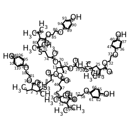 CCC(CC(C)(C)SCCC(=O)OCC(COC(=O)CCSC(C)(C)CC(CC)C(=O)OCCOc1ccc(O)cc1)(COC(=O)CCSC(C)(C)CC(C(=O)OCCOc1ccc(O)cc1)C(C)C)COC(=O)CCSC(C)(C)CC(C(=O)OCCOc1ccc(O)cc1)C(C)C)C(=O)OCCOc1ccc(O)cc1